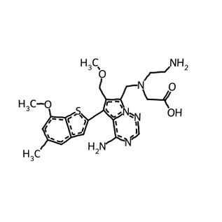 COCc1c(-c2cc3cc(C)cc(OC)c3s2)c2c(N)ncnn2c1CN(CCN)CC(=O)O